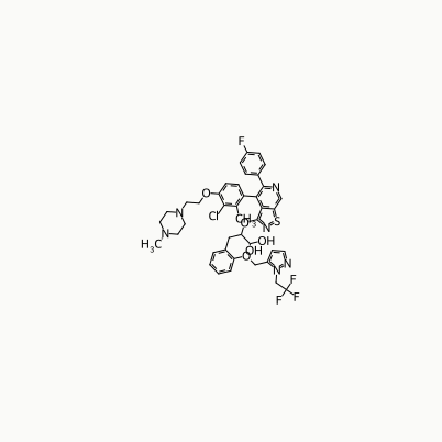 Cc1c(-c2c(-c3ccc(F)cc3)ncc3snc(OC(Cc4ccccc4OCc4ccnn4CC(F)(F)F)C(O)O)c23)ccc(OCCN2CCN(C)CC2)c1Cl